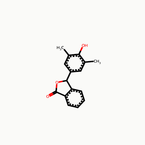 Cc1cc(C2OC(=O)c3ccccc32)cc(C)c1O